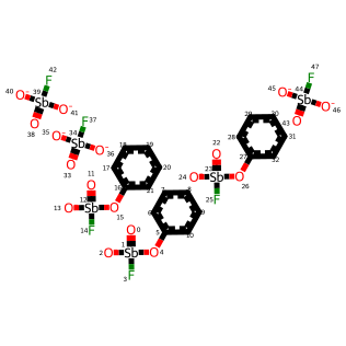 [O]=[Sb]([O-])([F])[O]c1ccccc1.[O]=[Sb]([O-])([F])[O]c1ccccc1.[O]=[Sb]([O-])([F])[O]c1ccccc1.[O]=[Sb]([O-])([O-])[F].[O]=[Sb]([O-])([O-])[F].[O]=[Sb]([O-])([O-])[F]